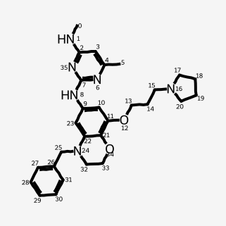 CNc1cc(C)nc(Nc2cc(OCCCN3CCCC3)c3c(c2)N(Cc2ccccc2)CCO3)n1